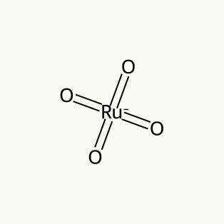 [O]=[Ru-](=[O])(=[O])=[O]